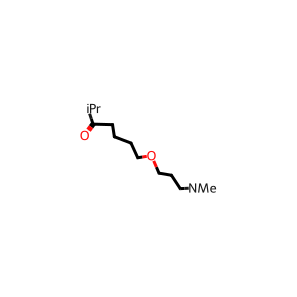 CNCCCOCCCCC(=O)C(C)C